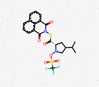 CC(C)C1C[C@@H](C(=O)SN2C(=O)c3cccc4cccc(c34)C2=O)N(OS(=O)(=O)C(F)(F)F)C1